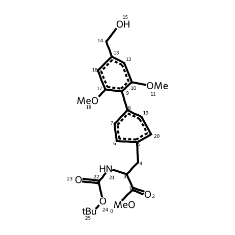 COC(=O)C(Cc1ccc(-c2c(OC)cc(CO)cc2OC)cc1)NC(=O)OC(C)(C)C